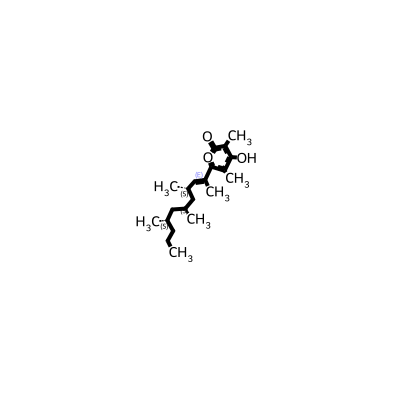 CCC[C@H](C)C[C@H](C)C[C@H](C)/C=C(\C)c1oc(=O)c(C)c(O)c1C